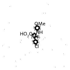 COc1ccc(Nc2cc(C(=O)O)nc(-c3ccc(Cl)cc3)c2F)cc1